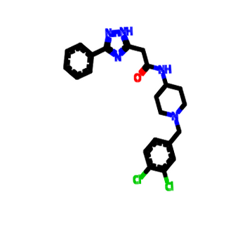 O=C(Cc1nc(-c2ccccc2)n[nH]1)NC1CCN(Cc2ccc(Cl)c(Cl)c2)CC1